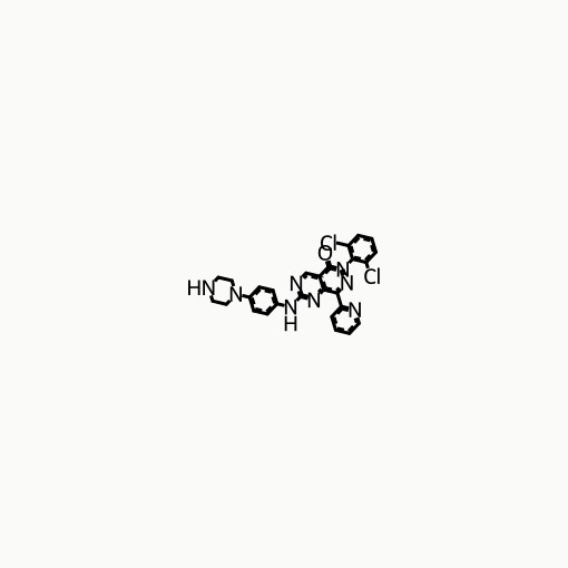 O=c1c2cnc(Nc3ccc(N4CCNCC4)cc3)nc2c(-c2ccccn2)nn1-c1c(Cl)cccc1Cl